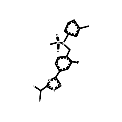 Cc1cccc(N(Cc2ccc(-c3nnc(C(F)F)o3)cc2F)S(C)(=O)=O)c1